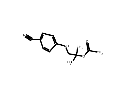 CC(=O)OC(C)(C)CNc1ccc(C#N)cc1